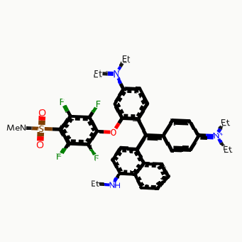 CCNc1ccc(C(=C2C=CC(=[N+](CC)CC)C=C2)c2ccc(N(CC)CC)cc2Oc2c(F)c(F)c(S(=O)(=O)NC)c(F)c2F)c2ccccc12